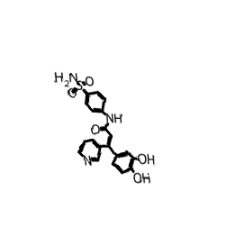 NS(=O)(=O)c1ccc(NC(=O)C=C(c2cccnc2)c2ccc(O)c(O)c2)cc1